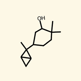 CC1(C)CCC(C2(C)C3CC32)CC1O